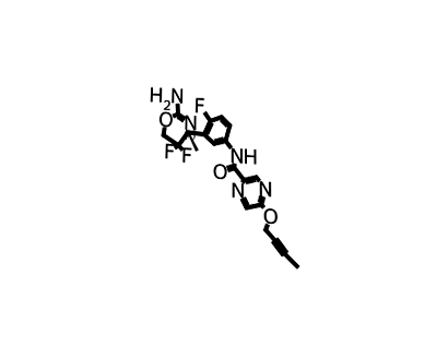 CC#CCOc1cnc(C(=O)Nc2ccc(F)c([C@@]3(C)N=C(N)OCC3(F)F)c2)cn1